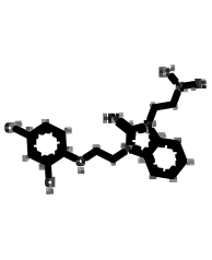 CCN(CC)CCn1c(=N)n(CCOc2ccc(Cl)cc2Cl)c2ccccc21